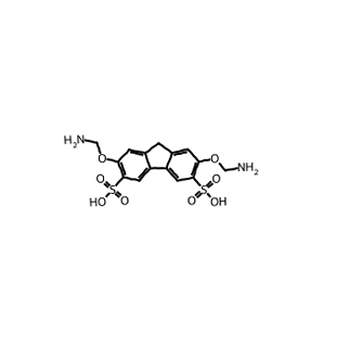 NCOc1cc2c(cc1S(=O)(=O)O)-c1cc(S(=O)(=O)O)c(OCN)cc1C2